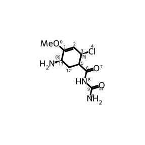 COC1=C[C@@H](Cl)C(C(=O)NC(N)=O)C[C@H]1N